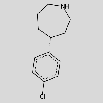 Clc1ccc([C@@H]2CCCNCC2)cc1